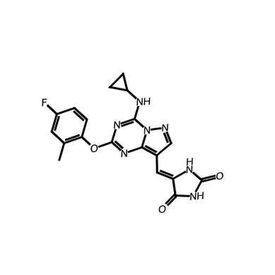 Cc1cc(F)ccc1Oc1nc(NC2CC2)n2ncc(/C=C3\NC(=O)NC3=O)c2n1